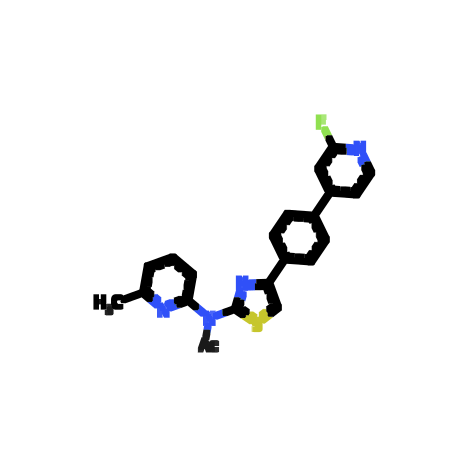 CC(=O)N(c1cccc(C)n1)c1nc(-c2ccc(-c3ccnc(F)c3)cc2)cs1